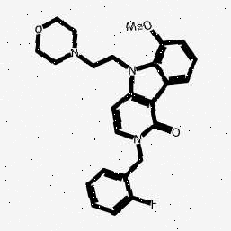 COc1cccc2c3c(=O)n(Cc4ccccc4F)ccc3n(CCN3CCOCC3)c12